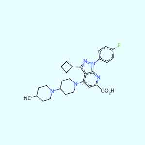 N#CC1CCN(C2CCN(c3cc(C(=O)O)nc4c3c(C3CCC3)nn4-c3ccc(F)cc3)CC2)CC1